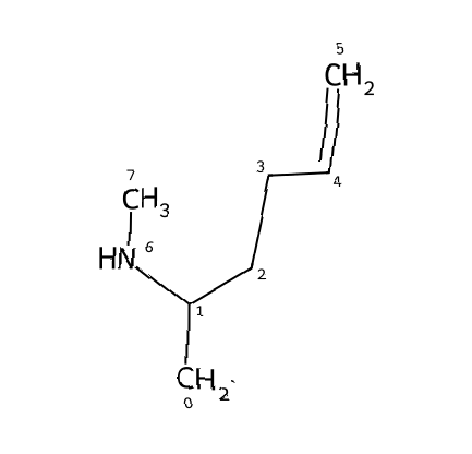 [CH2]C(CCC=C)NC